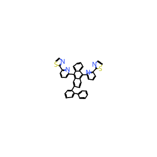 c1ccc(-c2ccccc2-c2ccc3c(-c4cccc(-c5nccs5)n4)c4ccccc4c(-c4cccc(-c5nccs5)n4)c3c2)cc1